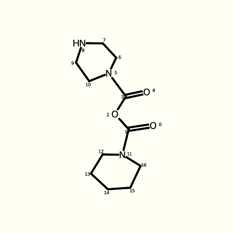 O=C(OC(=O)N1CCNCC1)N1CCCCC1